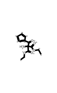 CCOC(=O)C(N)(C(=O)OCC)C(=O)c1ccccc1